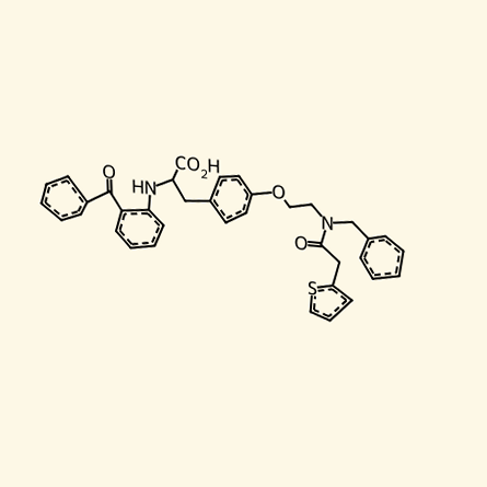 O=C(c1ccccc1)c1ccccc1NC(Cc1ccc(OCCN(Cc2ccccc2)C(=O)Cc2cccs2)cc1)C(=O)O